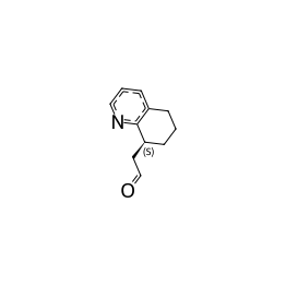 O=CC[C@@H]1CCCc2cccnc21